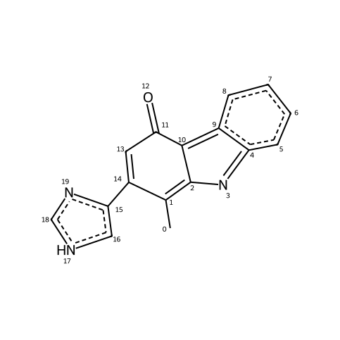 CC1=C2N=c3ccccc3=C2C(=O)C=C1c1c[nH]cn1